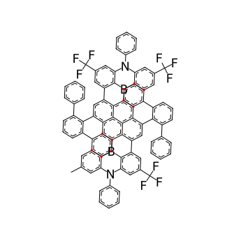 Cc1ccc2c(c1)N(c1ccccc1)c1cc(C(F)(F)F)cc3c1B2c1cc2c(-c4c(-c5ccccc5)cccc4-c4ccccc4)cc4c5c(cc6c(-c7c(-c8ccccc8)cccc7-c7ccccc7)cc-3c1c6c25)B1c2ccc(C(F)(F)F)cc2N(c2ccccc2)c2cc(C(F)(F)F)cc-4c21